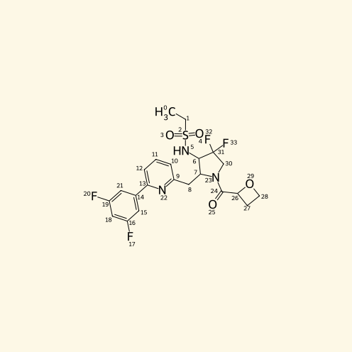 CCS(=O)(=O)NC1C(Cc2cccc(-c3cc(F)cc(F)c3)n2)N(C(=O)C2CCO2)CC1(F)F